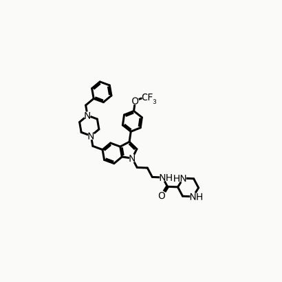 O=C(NCCCn1cc(-c2ccc(OC(F)(F)F)cc2)c2cc(CN3CCN(Cc4ccccc4)CC3)ccc21)C1CNCCN1